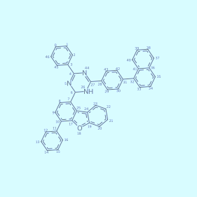 c1ccc(C2=NC(c3ccc(-c4ccccc4)c4oc5ccccc5c34)NC(c3ccc(-c4cccc5ccccc45)cc3)=N2)cc1